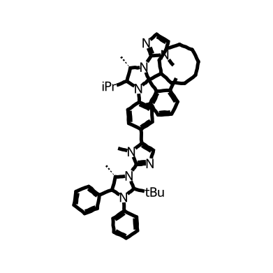 Cc1cccc(C)c1C1(C2CCCCCCCC2)N(c2ccc(-c3cnc(N4C(C(C)(C)C)N(c5ccccc5)C(c5ccccc5)[C@@H]4C)n3C)cc2)C(C(C)C)[C@H](C)N1c1nccn1C